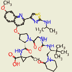 C=CC1C[C@]1(NC(=O)[C@@H]1C[C@@H](Oc2cc(-c3csc(NC(C)C)n3)nc3cc(OC)ccc23)CN1C(=O)CNC(=O)N[C@H](CN1CCCCC1=O)C(C)(C)C)C(=O)O